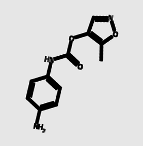 Cc1oncc1OC(=O)Nc1ccc(N)cc1